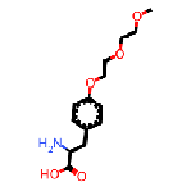 COCCOCCOc1ccc(C[C@H](N)C(=O)O)cc1